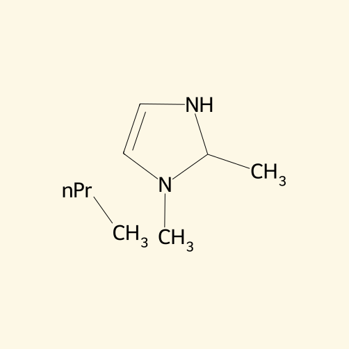 CC1NC=CN1C.CCCC